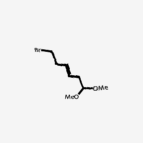 COC(C/C=C/CCBr)OC